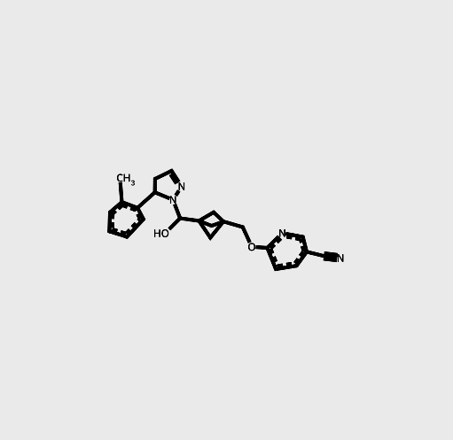 Cc1ccccc1C1CC=NN1C(O)C12CC(COc3ccc(C#N)cn3)(C1)C2